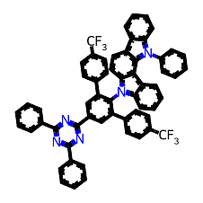 FC(F)(F)c1ccc(-c2cc(-c3nc(-c4ccccc4)nc(-c4ccccc4)n3)cc(-c3ccc(C(F)(F)F)cc3)c2-n2c3ccccc3c3c2ccc2c4ccccc4n(-c4ccccc4)c23)cc1